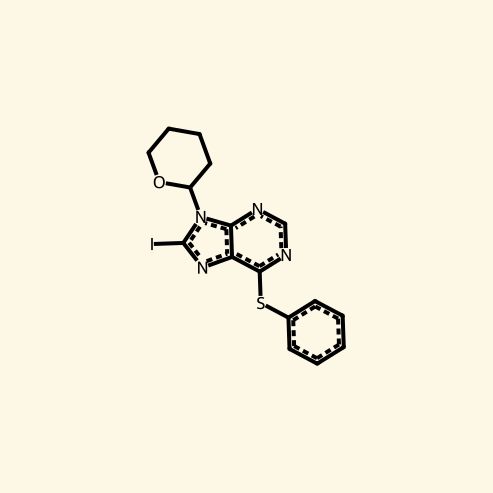 Ic1nc2c(Sc3ccccc3)ncnc2n1C1CCCCO1